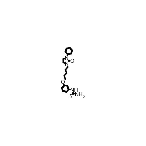 NC(=S)Nc1cccc(OCCCCCN2CCN(c3ccccc3)C2=O)c1